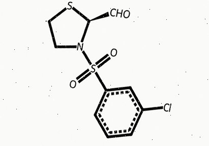 O=C[C@@H]1S[CH]CN1S(=O)(=O)c1cccc(Cl)c1